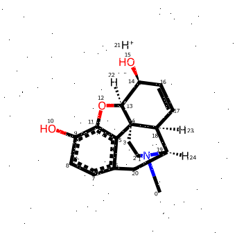 CN1CC[C@]23c4c5ccc(O)c4O[C@H]2[C@@H](O)C=C[C@H]3[C@H]1C5.[H+]